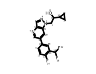 OC(Cn1ncc2ncc(-c3ccc(F)c(C(F)F)c3)cc21)C1CC1